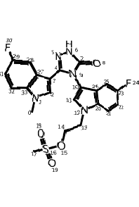 Cn1cc(-c2n[nH]c(=O)n2-c2cn(CCOS(C)(=O)=O)c3ccc(F)cc23)c2cc(F)ccc21